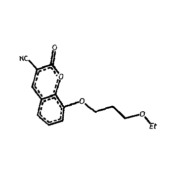 CCOCCCOc1cccc2cc(C#N)c(=O)oc12